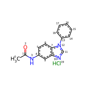 CC(=O)Nc1ccc2c(c1)ncn2-c1ccccc1.Cl